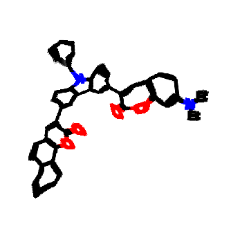 CCN(CC)c1ccc2cc(-c3ccc4c(c3)c3cc(-c5cc6ccc7ccccc7c6oc5=O)ccc3n4-c3ccccc3)c(=O)oc2c1